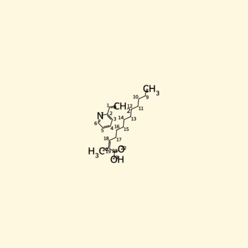 C=Cc1ccccn1.CCCCCCCCCCC=C(C)C(=O)O